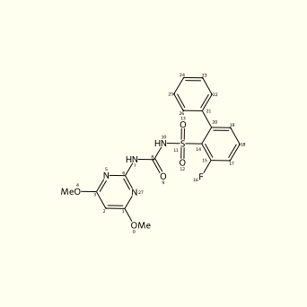 COc1cc(OC)nc(NC(=O)NS(=O)(=O)c2c(F)cccc2-c2ccccc2)n1